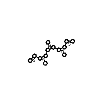 C1=CCC(n2c3ccc(-c4ccc5c(c4)c4cc(-c6ccc7c(c6)c6cc(-c8cccc9c8sc8ccccc89)ccc6n7-c6ccccc6)ccc4n5-c4ccccc4)cc3c3cc(-c4cccc5c4sc4ccccc45)ccc32)C=C1